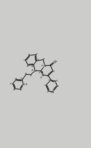 O=c1cc(-c2ccncn2)nc2n1Cc1ccccc1N2CCc1ccccn1